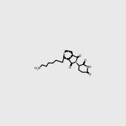 NCCCCCCc1cccc2c1C(=O)N(C1CCC(=O)NC1=O)C2=O